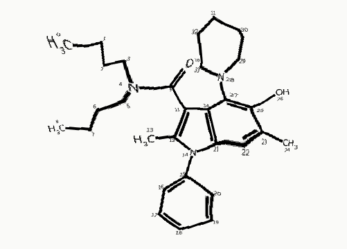 CCCCN(CCCC)C(=O)c1c(C)n(-c2ccccc2)c2cc(C)c(O)c(N3CCCCC3)c12